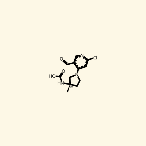 C[C@]1(NC(=O)O)CCN(c2cc(Cl)ncc2C=O)C1